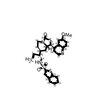 C=C[C@@H](CNS(=O)(=O)c1cc2ccccc2s1)[C@H]1CCN2C(=O)S[C@@H](c3ccnc4ccc(OC)cc34)[C@@H]2C1